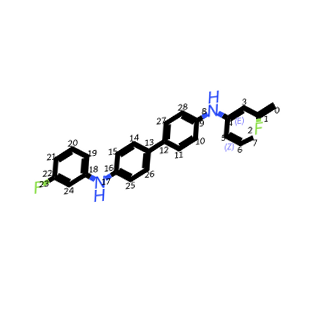 C=C(F)/C=C(\C=C/C)Nc1ccc(-c2ccc(Nc3cccc(F)c3)cc2)cc1